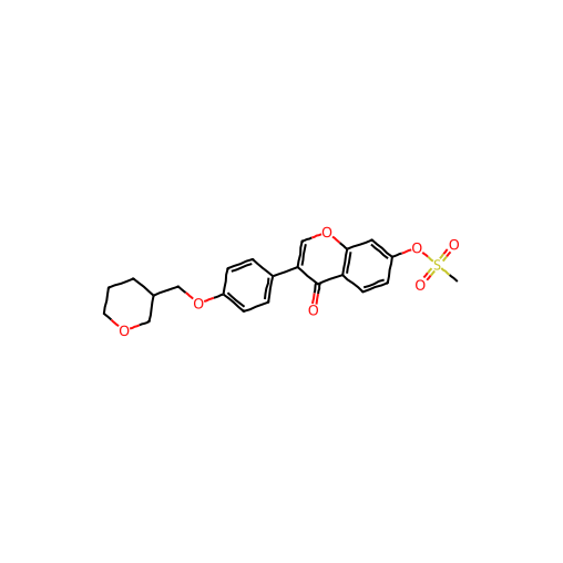 CS(=O)(=O)Oc1ccc2c(=O)c(-c3ccc(OCC4CCCOC4)cc3)coc2c1